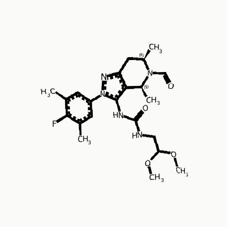 COC(CNC(=O)Nc1c2c(nn1-c1cc(C)c(F)c(C)c1)C[C@@H](C)N(C=O)[C@H]2C)OC